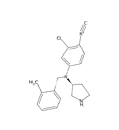 [C-]#[N+]c1ccc(N(Cc2ccccc2C)[C@H]2CCNC2)cc1Cl